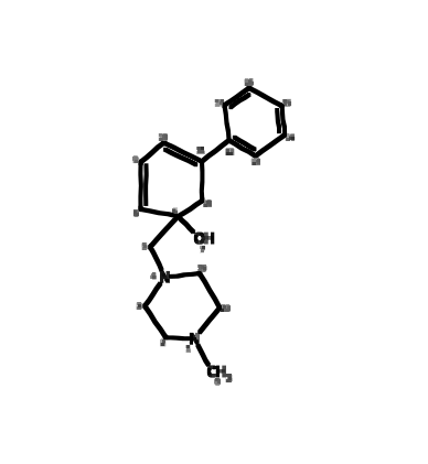 CN1CCN(CC2(O)C=CC=C(c3ccccc3)C2)CC1